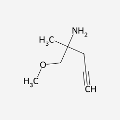 C#CCC(C)(N)COC